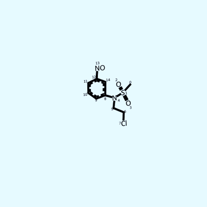 CS(=O)(=O)N(CCCl)c1cccc(N=O)c1